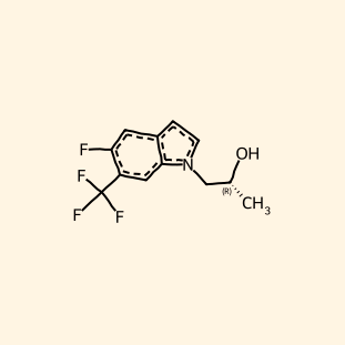 C[C@@H](O)Cn1ccc2cc(F)c(C(F)(F)F)cc21